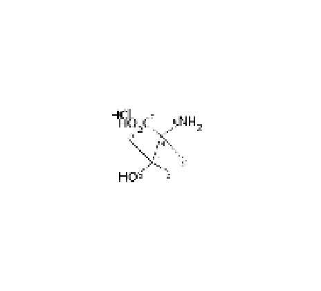 CC(C)(O)C(C)(N)C(=O)O.Cl